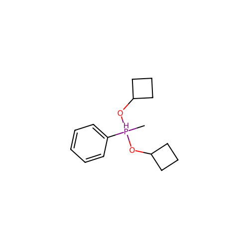 C[PH](OC1CCC1)(OC1CCC1)c1ccccc1